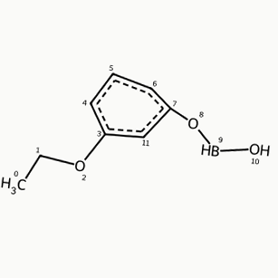 CCOc1cccc(OBO)c1